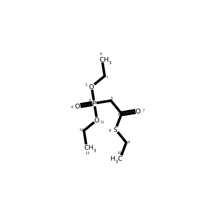 CCOP(=O)(CC(=O)SCC)OCC